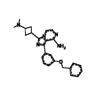 CN(C)C1CC(c2nc(-c3cccc(OCc4ccccc4)c3)c3c(N)nccn23)C1